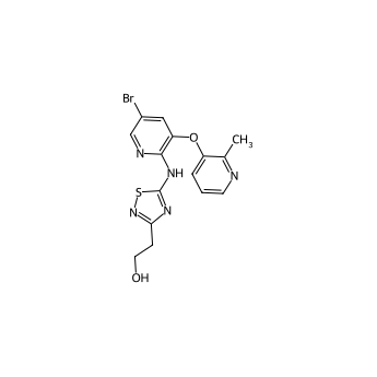 Cc1ncccc1Oc1cc(Br)cnc1Nc1nc(CCO)ns1